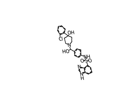 O=S(=O)(Nc1ccc(C(O)N2CCC(O)(c3ccccc3Cl)CC2)cc1)c1cccc2[nH]cnc12